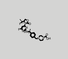 C[C@H](Nc1nc(F)cc(N2C(=O)OCC2[C@H](C)F)n1)c1ccc(CN2CCN(C(=O)O)CC2)cc1